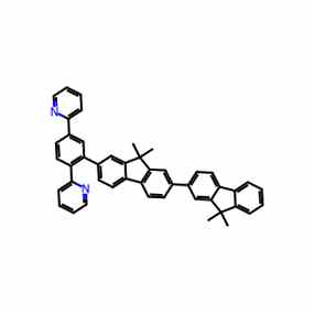 CC1(C)c2ccccc2-c2ccc(-c3ccc4c(c3)C(C)(C)c3cc(-c5cc(-c6ccccn6)ccc5-c5ccccn5)ccc3-4)cc21